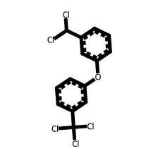 ClC(Cl)c1cccc(Oc2cccc(C(Cl)(Cl)Cl)c2)c1